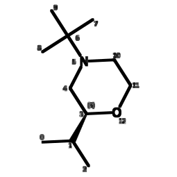 CC(C)[C@H]1CN(C(C)(C)C)CCO1